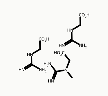 CN(CC(=O)O)C(=N)N.N=C(N)NCC(=O)O.N=C(N)NCC(=O)O